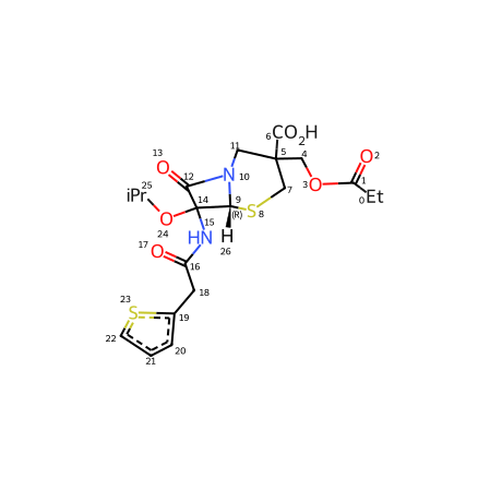 CCC(=O)OCC1(C(=O)O)CS[C@H]2N(C1)C(=O)C2(NC(=O)Cc1cccs1)OC(C)C